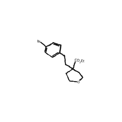 CCOC(=O)C1(CCc2ccc(Br)cc2)CCOCC1